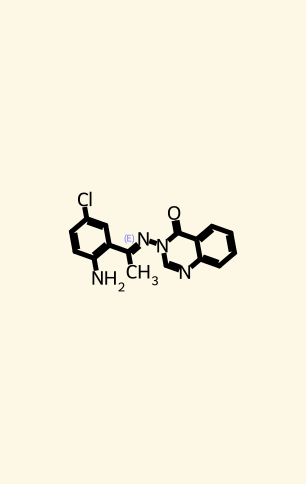 C/C(=N\n1cnc2ccccc2c1=O)c1cc(Cl)ccc1N